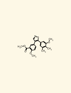 COC(=O)c1cc(-c2cnsc2-c2cc(C)c(C)c(OC)c2)ccc1OC